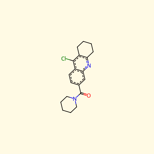 O=C(c1ccc2c(Cl)c3c(nc2c1)CCCC3)N1CCCCC1